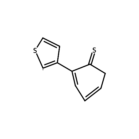 S=C1CC=CC=C1c1[c]scc1